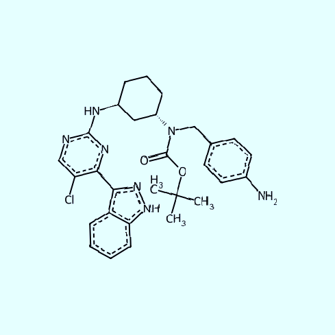 CC(C)(C)OC(=O)N(Cc1ccc(N)cc1)[C@H]1CCCC(Nc2ncc(Cl)c(-c3n[nH]c4ccccc34)n2)C1